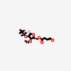 [2H]OC1[C@@H](COC(=O)CCC=O)O[C@@H](B)[C@H]1O[Si](C)(C)C(C)(C)C